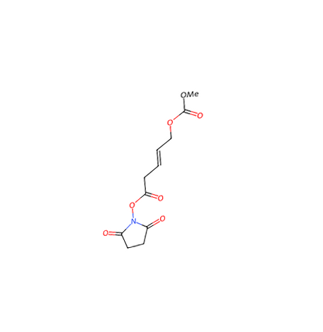 COC(=O)OCC=CCC(=O)ON1C(=O)CCC1=O